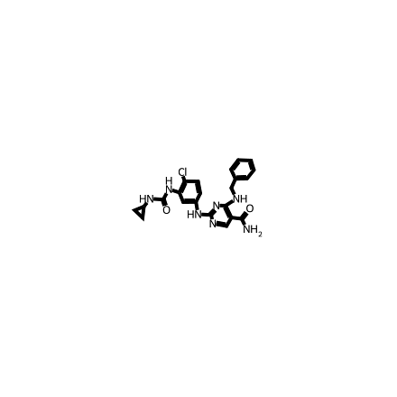 NC(=O)c1cnc(Nc2ccc(Cl)c(NC(=O)NC3CC3)c2)nc1NCc1ccccc1